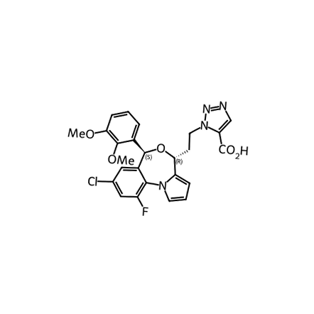 COc1cccc([C@H]2O[C@H](CCn3nncc3C(=O)O)c3cccn3-c3c(F)cc(Cl)cc32)c1OC